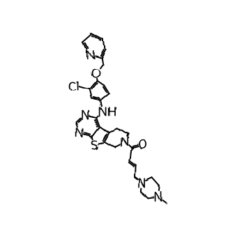 CN1CCN(CC=CC(=O)N2CCc3c(sc4ncnc(Nc5ccc(OCc6ccccn6)c(Cl)c5)c34)C2)CC1